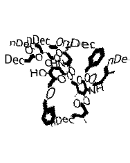 CCCCCCCCCCCC(=O)O[C@H](CCCCCCCCCCC)CC(=O)NC1[C@H](OCC2O[C@H](OCc3ccccc3)C(NC(=O)C[C@H](C)CCCCCCCCCCC)[C@@H](OC(=O)C[C@H](C)CCCCCCCCCCC)[C@@H]2C)OC(COCc2ccccc2)[C@@H](O)[C@@H]1OC(=O)C[C@@H](CCCCCCCCCCC)OC(=O)CCCCCCCCCCC